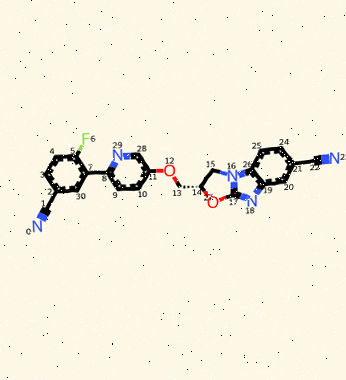 N#Cc1ccc(F)c(-c2ccc(OC[C@@H]3Cn4c(nc5cc(C#N)ccc54)O3)cn2)c1